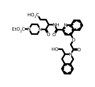 CCOC(=O)N1CCN(C(=O)C(CCC(=O)O)NC(=O)c2cc(OCC(=O)N3Cc4ccccc4CC3CO)c3ccccc3n2)CC1